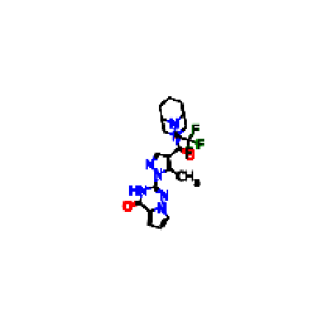 Cc1c(C(=O)N2CC3CCCC(C2)N3CC(F)(F)F)cnn1-c1nn2cccc2c(=O)[nH]1